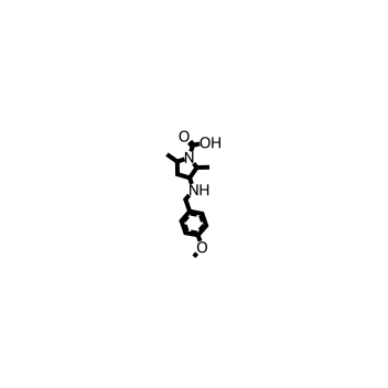 COc1ccc(CNC2CC(C)N(C(=O)O)C2C)cc1